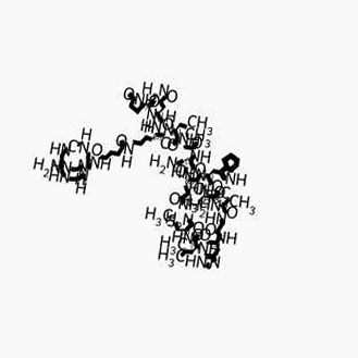 CSCC[C@H](NC(=O)[C@H](CC(C)C)NC(=O)[C@H](Cc1c[nH]cn1)NC(=O)CNC(=O)[C@@H](NC(=O)[C@H](C)NC(=O)[C@H](Cc1c[nH]c2ccccc12)NC(=O)[C@H](CCC(N)=O)NC(=O)[C@H](CC(N)=O)NC(=O)CNC(=O)[C@H](CC(C)C)NC(=O)[C@H](CCCCNC(=O)CCCC(=O)N[C@]12CNCCNC[C@](N)(CNCCNC1)NCCN2)NC(=O)[C@H](CCC(N)=O)NC(=O)[C@@H]1CCC(=O)N1)C(C)C)C(N)=O